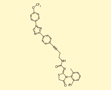 Cc1cccc(C(C)C)c1N1C(=O)CS/C1=N\C(=O)NCCC#Cc1ccc(-c2ncn(-c3ccc(OC(F)(F)F)cc3)n2)cc1